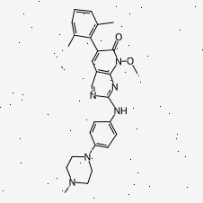 COn1c(=O)c(-c2c(C)cccc2C)cc2cnc(Nc3ccc(N4CCN(C)CC4)cc3)nc21